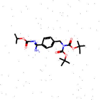 CC(C)OC(=O)/N=C(\N)c1ccc(CN(C(=O)OC(C)(C)C)C(=O)OC(C)(C)C)cc1